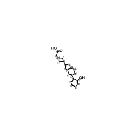 O=C(O)CN1CC(c2cc3cc(-c4ccccc4O)nnc3s2)C1